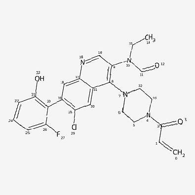 C=CC(=O)N1CCN(c2c(N(C=O)CC)cnc3cc(-c4c(O)cccc4F)c(Cl)cc23)CC1